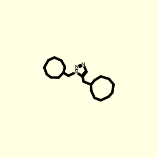 c1nnn(CC2CCCCCCCC2)c1CC1CCCCCCCCC1